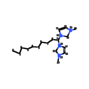 CCCCCCCCCC(N1C=CN(C)C1)N1C=CN(C)C1